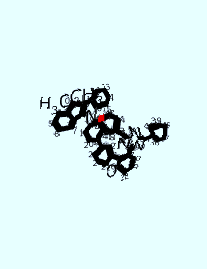 CC1(C)c2ccccc2-c2c1c1ccccc1n2-c1ccc(-c2ccc3oc4cccc(-c5nc(-c6ccccc6)nc(-c6ccccc6)n5)c4c3c2)cc1